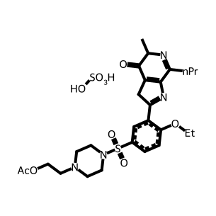 CCCC1=NC(C)C(=O)C2=C1N=C(c1cc(S(=O)(=O)N3CCN(CCOC(C)=O)CC3)ccc1OCC)C2.O=S(=O)(O)O